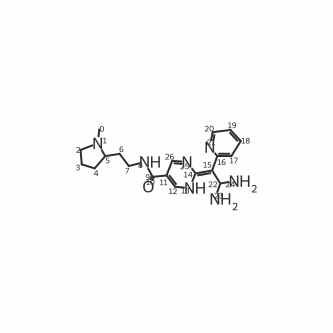 CN1CCCC1CCNC(=O)C1=CN/C(=C(/c2ccccn2)C(N)N)N=C1